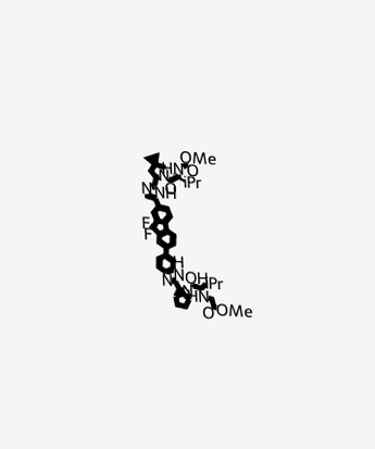 COC(=O)CNC(C(C)C)C(O)N1C2CCC(C2)C1c1nc2ccc(-c3ccc4c(c3)C(F)(F)c3cc(-c5cnc(C6CC7(CC7)CN6C(=O)[C@@H](NC(=O)OC)C(C)C)[nH]5)ccc3-4)cc2[nH]1